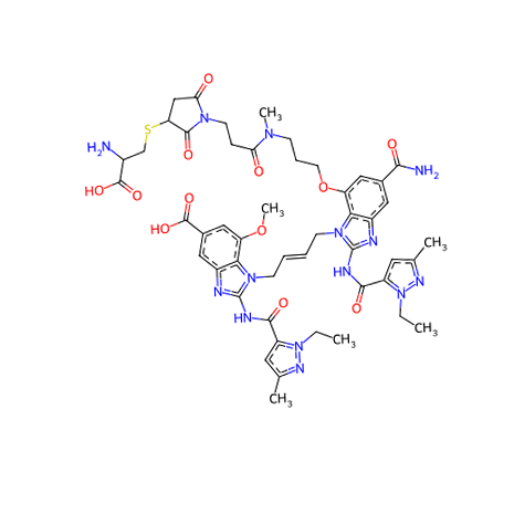 CCn1nc(C)cc1C(=O)Nc1nc2cc(C(=O)O)cc(OC)c2n1C/C=C/Cn1c(NC(=O)c2cc(C)nn2CC)nc2cc(C(N)=O)cc(OCCCN(C)C(=O)CCN3C(=O)CC(SCC(N)C(=O)O)C3=O)c21